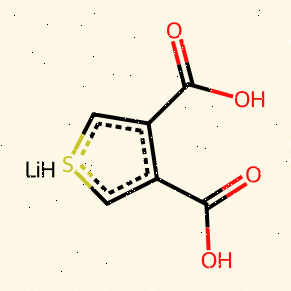 O=C(O)c1cscc1C(=O)O.[LiH]